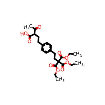 CCOC(=O)C(CCc1ccc(CCC(C(C)=O)C(=O)O)cc1)(C(=O)OCC)C(=O)OCC